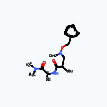 CCCCC(CN(C=O)OCc1ccccc1)C(=O)N[C@H](C(=O)N(C)C)C(C)(C)C